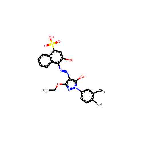 CCOc1nn(-c2ccc(C)c(C)c2)c(O)c1/N=N/c1c(O)cc(S(=O)(=O)O)c2ccccc12